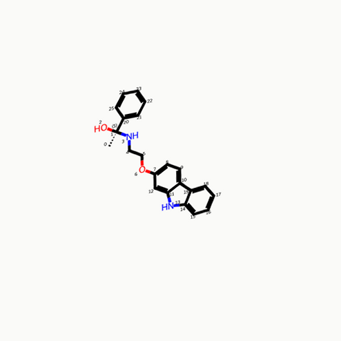 C[C@@](O)(NCCOc1ccc2c(c1)[nH]c1ccccc12)c1ccccc1